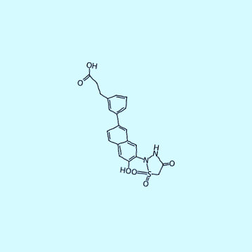 O=C(O)CCc1cccc(-c2ccc3cc(O)c(N4NC(=O)CS4(=O)=O)cc3c2)c1